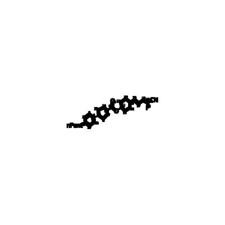 CCCCCc1ccc([C@H]2CC[C@H](C(=O)O[C@H]3CC[C@H](C=CC=C(F)C#N)CC3)CC2)cc1